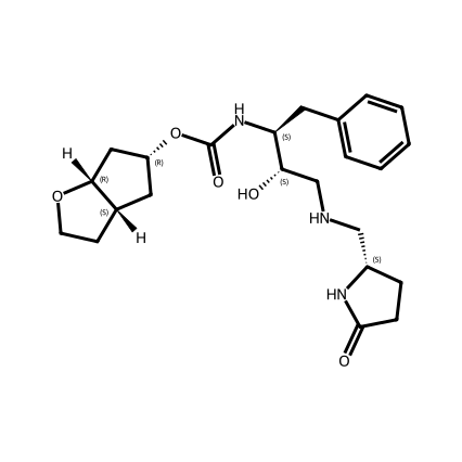 O=C1CC[C@@H](CNC[C@H](O)[C@H](Cc2ccccc2)NC(=O)O[C@@H]2C[C@@H]3CCO[C@@H]3C2)N1